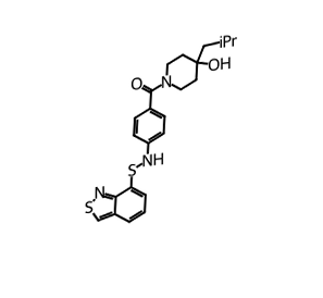 CC(C)CC1(O)CCN(C(=O)c2ccc(NSc3cccc4csnc34)cc2)CC1